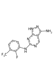 Nc1n[nH]c2nc(Nc3cccc(C(F)(F)F)c3F)ncc12